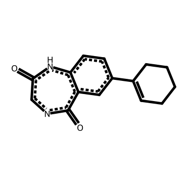 O=c1cnc(=O)c2cc(C3=CCCCC3)ccc2[nH]1